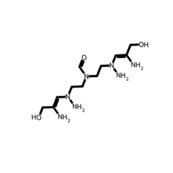 N/C(=C\N(N)CCN(C=O)CCN(N)/C=C(\N)CO)CO